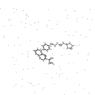 NC(=O)c1ccc2cncc(-c3ccc(OCCOCC4CCOC4)cc3)c2n1